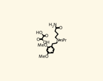 CCCN(CCCC(N)=O)CCc1ccc(OC)cc1OC.O=C(O)C(=O)O